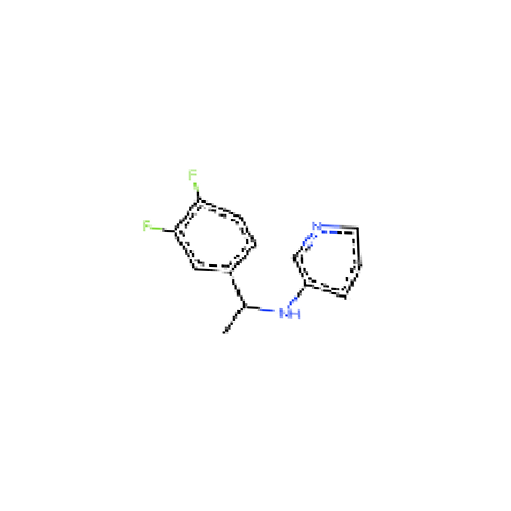 CC(Nc1[c]ccnc1)c1ccc(F)c(F)c1